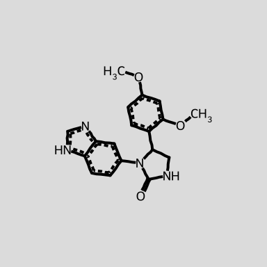 COc1ccc(C2CNC(=O)N2c2ccc3[nH]cnc3c2)c(OC)c1